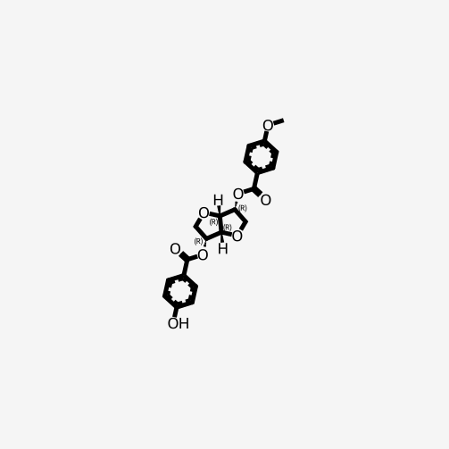 COc1ccc(C(=O)O[C@@H]2CO[C@H]3[C@@H]2OC[C@H]3OC(=O)c2ccc(O)cc2)cc1